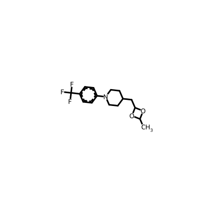 CC1OC(CC2CCN(c3ccc(C(F)(F)F)cc3)CC2)O1